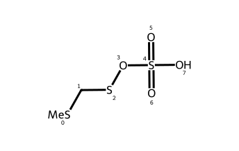 CSCSOS(=O)(=O)O